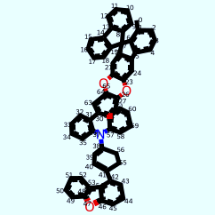 Cc1cccc2c1C1(c3ccccc3-c3ccccc31)c1cc3c(cc1-2)Oc1ccc(-c2ccccc2N(C2=CC=C(c4cccc5oc6ccccc6c45)CC2)c2ccccc2)cc1O3